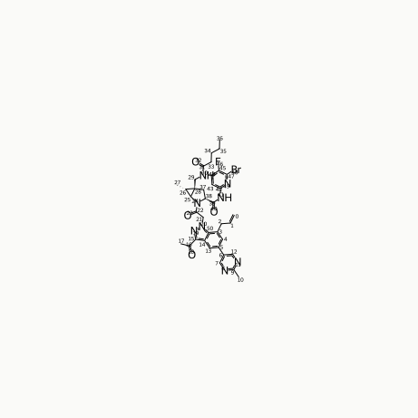 C=CCc1cc(-c2cnc(C)nc2)cc2c(C(C)=O)nn(CC(=O)N3C4[C@H](C)[C@]4(CNC(=O)CCCC)C[C@H]3C(=O)Nc3ccc(F)c(Br)n3)c12